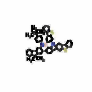 CC(C)(C)c1ccc(N2B3c4cc5c(cc4-n4c6cc7c(cc6c6ccc(c3c64)-c3cc4c(cc32)-c2ccccc2C4(C)C)sc2ccccc27)sc2ccccc25)cc1